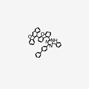 c1ccc(-c2ccc(C3=NC(c4ccccc4)NC(c4cccc5oc6c(-c7c8ccccc8cc8oc9ccccc9c78)cccc6c45)=N3)cc2)cc1